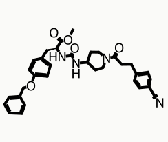 COC(=O)[C@H](Cc1ccc(OCc2ccccc2)cc1)NC(=O)NC1CCN(C(=O)CCc2ccc(C#N)cc2)CC1